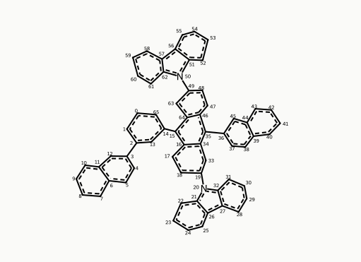 c1cc(-c2ccc3ccccc3c2)cc(-c2c3ccc(-n4c5ccccc5c5ccccc54)cc3c(-c3ccc4ccccc4c3)c3ccc(-n4c5ccccc5c5ccccc54)cc23)c1